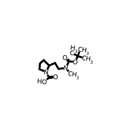 CN(CCC1CCCN1C(=O)O)C(=O)OC(C)(C)C